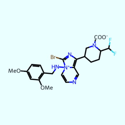 COc1ccc(CN[N+]23C=CN=CC2=C(C2CCC(C(F)F)N(C(=O)[O-])C2)N=C3Br)c(OC)c1